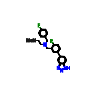 CNCCN(Cc1ccc(F)cc1)Cc1cc(-c2ccc3[nH]nnc3c2)ccc1F